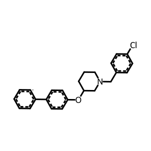 Clc1ccc(CN2CCCC(Oc3ccc(-c4[c]cccc4)cc3)C2)cc1